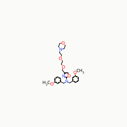 COc1cccc(CN(Cc2cccc(OC)c2)c2nc(COCCOCCN3CCOCC3)co2)c1